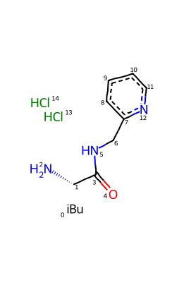 CC[C@H](C)[C@H](N)C(=O)NCc1ccccn1.Cl.Cl